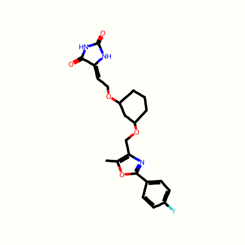 Cc1oc(-c2ccc(F)cc2)nc1COC1CCCC(OC/C=C2\NC(=O)NC2=O)C1